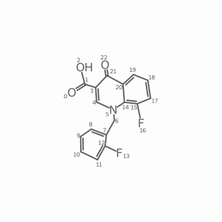 O=C(O)c1cn(Cc2ccccc2F)c2c(F)cccc2c1=O